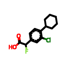 O=C(O)C(F)c1ccc(C2CCCCC2)c(Cl)c1